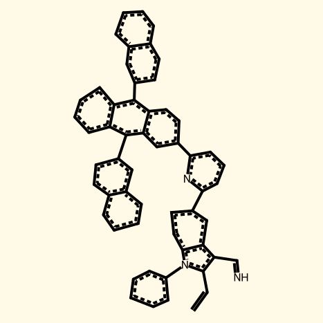 C=Cc1c(C=N)c2cc(-c3cccc(-c4ccc5c(-c6ccc7ccccc7c6)c6ccccc6c(-c6ccc7ccccc7c6)c5c4)n3)ccc2n1-c1ccccc1